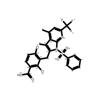 Cc1cc(C(F)(F)F)nc2c1c(C)c(Cc1c(Cl)ccc(C(=O)O)c1Cl)n2S(=O)(=O)c1ccccc1